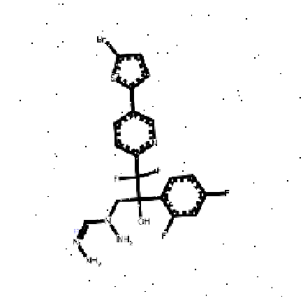 N/N=C\N(N)CC(O)(c1ccc(F)cc1F)C(F)(F)c1ccc(-c2ccc(Br)s2)cn1